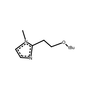 Cn1ccnc1CCOC(C)(C)C